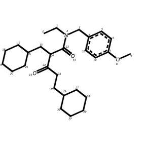 CCN(Cc1ccc(OC)cc1)C(=O)C(CC1CCCCC1)C(=O)CCC1CCCCC1